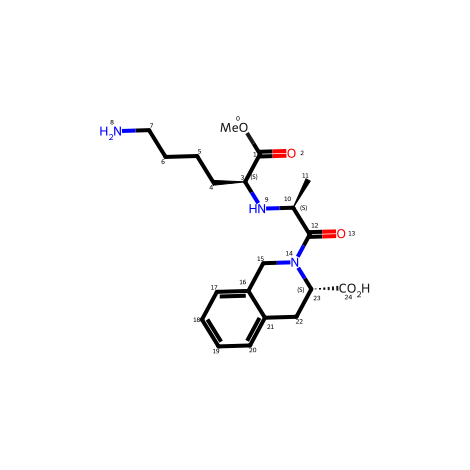 COC(=O)[C@H](CCCCN)N[C@@H](C)C(=O)N1Cc2ccccc2C[C@H]1C(=O)O